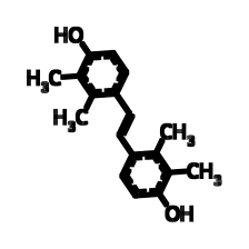 Cc1c(O)ccc(/C=C/c2ccc(O)c(C)c2C)c1C